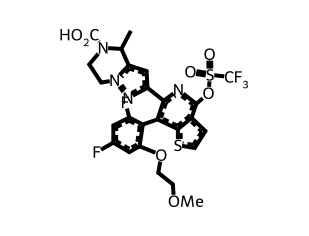 COCCOc1cc(F)cc(F)c1-c1c(-c2cc3n(n2)CCN(C(=O)O)C3C)nc(OS(=O)(=O)C(F)(F)F)c2ccsc12